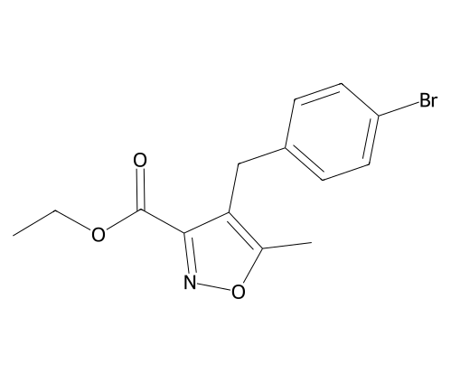 CCOC(=O)c1noc(C)c1Cc1ccc(Br)cc1